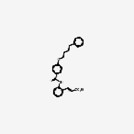 CCOC(=O)/C=C/c1ccccc1NC(=O)c1ccc(OCCCCc2ccccc2)cc1